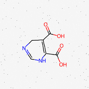 O=C(O)C1=C(C(=O)O)NC=NC1